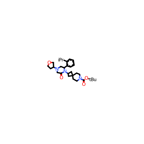 CC(C)c1ccccc1C1CN(C2CCOC2)CC(=O)N1C1CC2(CCN(C(=O)OC(C)(C)C)CC2)C1